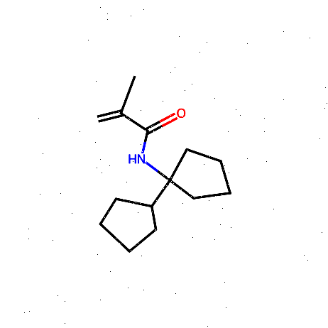 C=C(C)C(=O)NC1(C2CCCC2)CCCC1